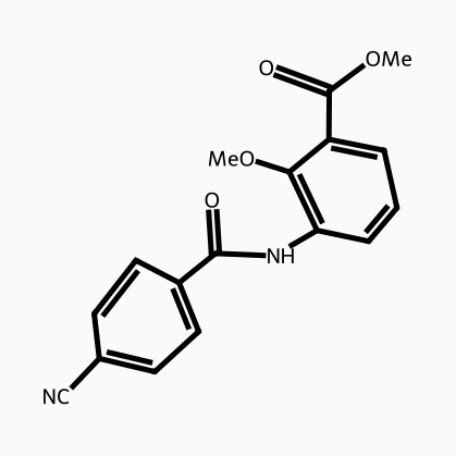 COC(=O)c1cccc(NC(=O)c2ccc(C#N)cc2)c1OC